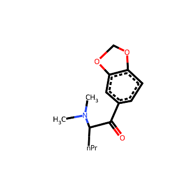 CCCC(C(=O)c1ccc2c(c1)OCO2)N(C)C